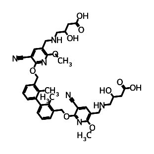 COc1nc(OCc2cccc(-c3cccc(COc4nc(OC)c(CNCC(O)CC(=O)O)cc4C#N)c3C)c2C)c(C#N)cc1CNCC(O)CC(=O)O